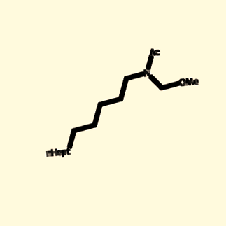 CCCCCCCCCCCCN(COC)C(C)=O